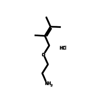 CC(C)=C(C)COCCN.Cl